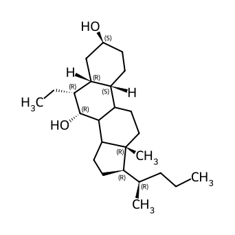 CCC[C@@H](C)[C@H]1CCC2C3C(CC[C@@]21C)[C@H]1CC[C@H](O)C[C@H]1[C@@H](CC)[C@H]3O